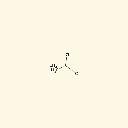 C.CC(Cl)Cl